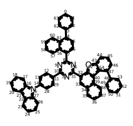 c1ccc(-c2ccc(-c3nc(-c4ccc(-n5c6ccccc6c6ccccc65)cc4)nc(-c4cc5ccccc5c5c4oc4cccc(-c6ccccc6)c45)n3)c3ccccc23)cc1